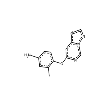 Cc1cc(N)ccc1Oc1cc2ncnn2cn1